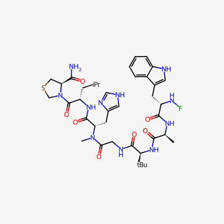 CC(C)C[C@H](NC(=O)[C@H](Cc1c[nH]cn1)N(C)C(=O)CNC(=O)[C@@H](NC(=O)[C@H](C)NC(=O)[C@H](Cc1c[nH]c2ccccc12)NF)C(C)(C)C)C(=O)N1CSC[C@H]1C(N)=O